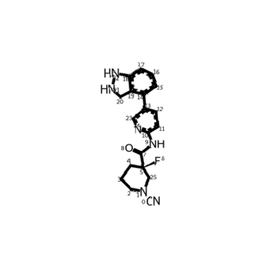 N#CN1CCC[C@](F)(C(=O)Nc2ccc(-c3cccc4c3CNN4)cn2)C1